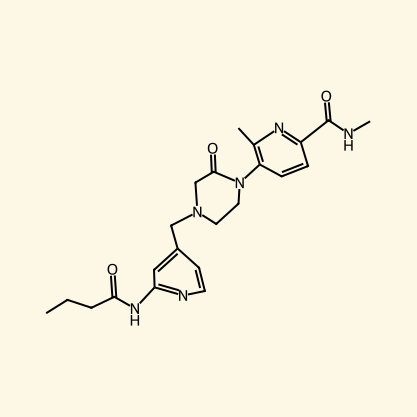 CCCC(=O)Nc1cc(CN2CCN(c3ccc(C(=O)NC)nc3C)C(=O)C2)ccn1